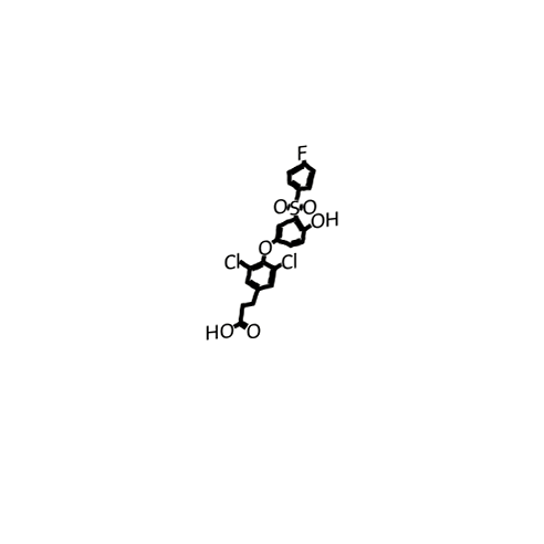 O=C(O)CCc1cc(Cl)c(Oc2ccc(O)c(S(=O)(=O)c3ccc(F)cc3)c2)c(Cl)c1